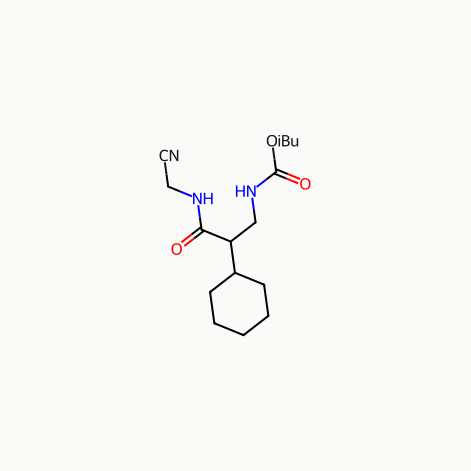 CC(C)COC(=O)NCC(C(=O)NCC#N)C1CCCCC1